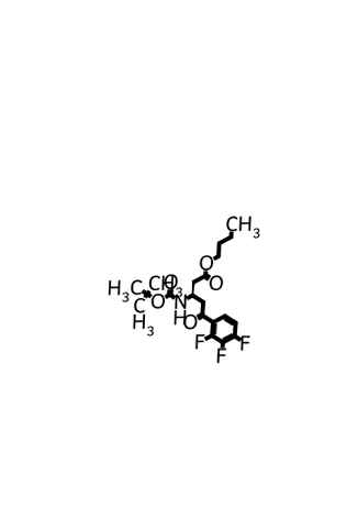 CCCCOC(=O)C[C@@H](CC(=O)c1ccc(F)c(F)c1F)NC(=O)OC(C)(C)C